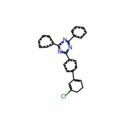 ClC1=CC(c2ccc(-c3nc(-c4ccccc4)nc(-c4ccccc4)n3)cc2)=CCC1